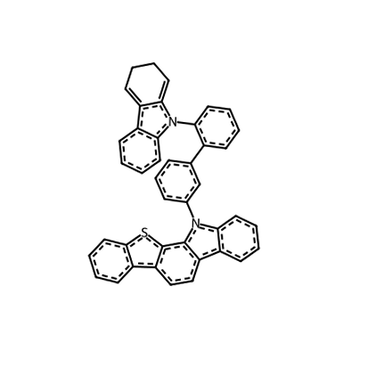 C1=c2c(n(-c3ccccc3-c3cccc(-n4c5ccccc5c5ccc6c7ccccc7sc6c54)c3)c3ccccc23)=CCC1